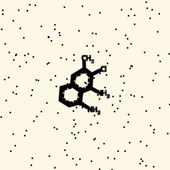 Cc1cc2cccc(N)c2c(N)c1Cl